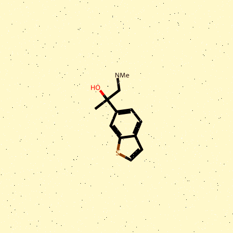 CNCC(C)(O)c1ccc2ccsc2c1